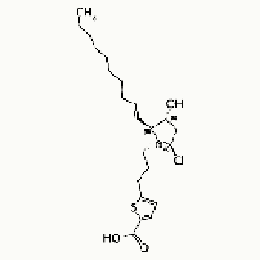 CCCCCCCCC=C[C@@H]1[C@@H](CCCc2ccc(C(=O)O)s2)[C@H](Cl)C[C@H]1O